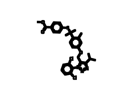 COC(=O)c1ccc(SC(C)(C)c2ccc(OCc3c(C(C)C)nnn3-c3c(Cl)cccc3Cl)cc2C)cc1